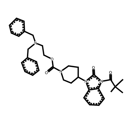 CC(C)(C)C(=O)n1c(=O)n(C2CCN(C(=O)OCCN(Cc3ccccc3)Cc3ccccc3)CC2)c2ccccc21